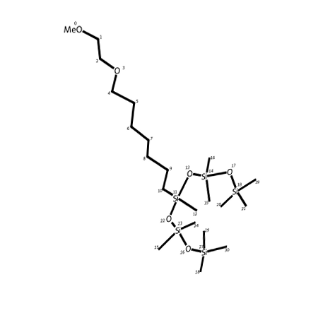 COCCOCCCCCCC[Si](C)(O[Si](C)(C)O[Si](C)(C)C)O[Si](C)(C)O[Si](C)(C)C